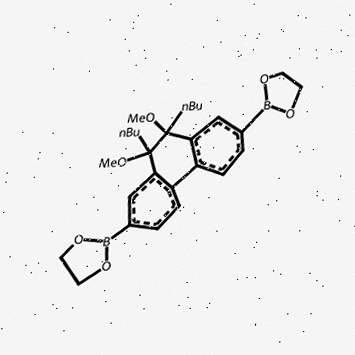 CCCCC1(OC)c2cc(B3OCCO3)ccc2-c2ccc(B3OCCO3)cc2C1(CCCC)OC